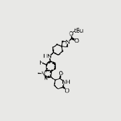 Cn1nc(C2CCC(=O)NC2=O)c2ccc(NC3CCC4(CC3)CN(C(=O)OC(C)(C)C)C4)c(F)c21